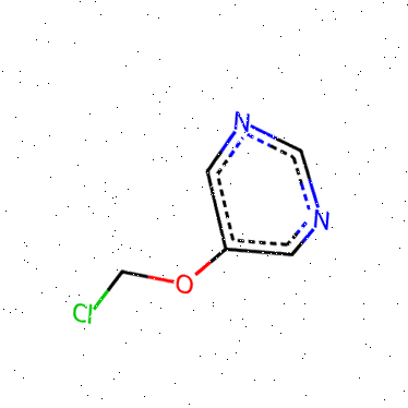 ClCOc1cncnc1